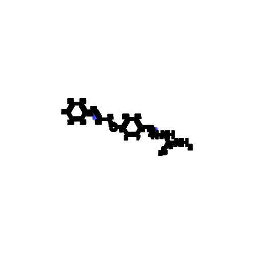 NC(=S)N/N=C/c1ccc(OC/C=C/c2ccccc2)cc1